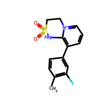 Cc1ccc(-c2ccc[n+]3c2NS(=O)(=O)CC3)cc1F